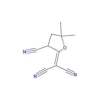 CC1(C)CC(C#N)C(=C(C#N)C#N)O1